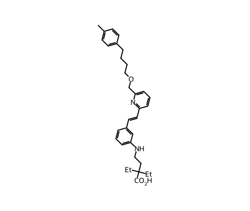 CCC(CC)(CCNc1cccc(C=Cc2cccc(COCCCCc3ccc(C)cc3)n2)c1)C(=O)O